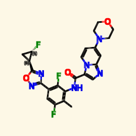 Cc1c(F)cc(-c2noc([C@H]3C[C@@H]3F)n2)c(F)c1NC(=O)c1cnc2cc(N3CCOCC3)ccn12